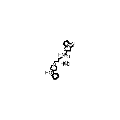 Cl.Cl.O=C(NCCCCN1CCC(O)(c2ccccc2)CC1)C1=Cc2cnc3cccc(n23)S1